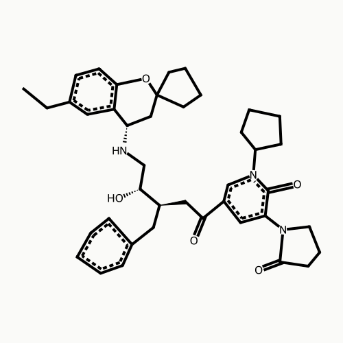 CCc1ccc2c(c1)[C@@H](NC[C@@H](O)[C@@H](CC(=O)c1cc(N3CCCC3=O)c(=O)n(C3CCCC3)c1)Cc1ccccc1)CC1(CCCC1)O2